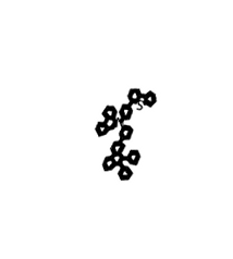 c1ccc(-c2c(-c3ccccc3)c3cc(-c4cccc(N(c5ccc(-c6cccc7c6sc6ccccc67)cc5)c5cc6ccccc6c6ccccc56)c4)ccc3c3ccccc23)cc1